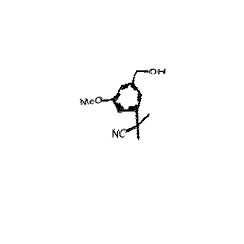 COc1cc(CO)cc(C(C)(C)C#N)c1